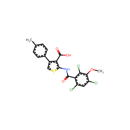 COc1c(Cl)cc(Cl)c(C(=O)Nc2scc(-c3ccc(C)cc3)c2C(=O)O)c1Cl